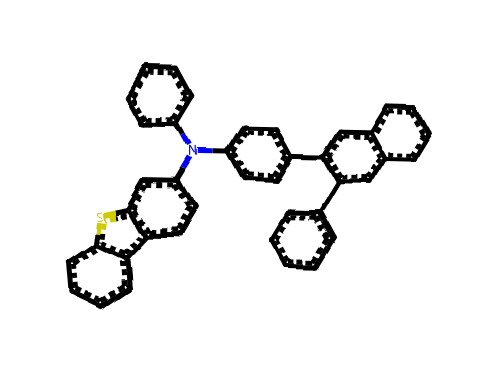 c1ccc(-c2cc3ccccc3cc2-c2ccc(N(c3ccccc3)c3ccc4c(c3)sc3ccccc34)cc2)cc1